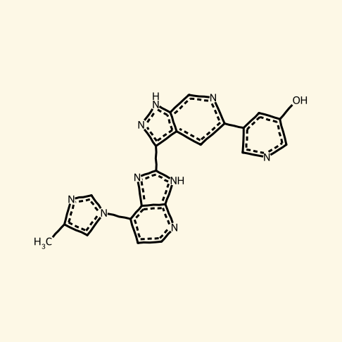 Cc1cn(-c2ccnc3[nH]c(-c4n[nH]c5cnc(-c6cncc(O)c6)cc45)nc23)cn1